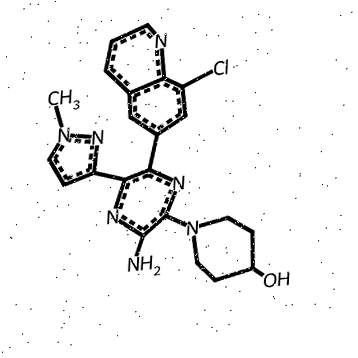 Cn1ccc(-c2nc(N)c(N3CCC(O)CC3)nc2-c2cc(Cl)c3ncccc3c2)n1